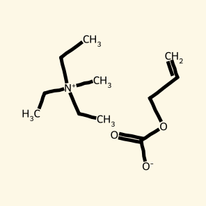 C=CCOC(=O)[O-].CC[N+](C)(CC)CC